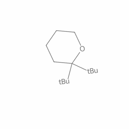 CC(C)(C)C1(C(C)(C)C)CCCCO1